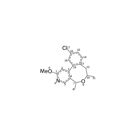 COc1cc2c(cn1)C(C)OC(C)Cc1ccc(Cl)cc1-2